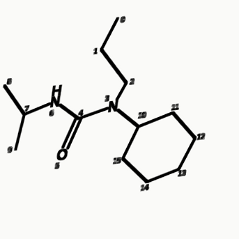 CCCN(C(=O)NC(C)C)C1CCCCC1